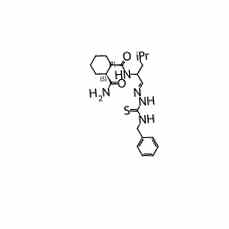 CC(C)CC(C=NNC(=S)NCc1ccccc1)NC(=O)[C@@H]1CCCC[C@@H]1C(N)=O